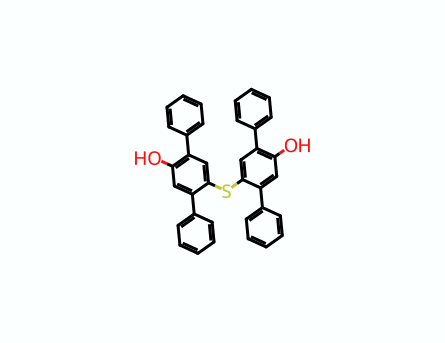 Oc1cc(-c2ccccc2)c(Sc2cc(-c3ccccc3)c(O)cc2-c2ccccc2)cc1-c1ccccc1